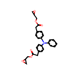 O=C(Cc1ccc(N(c2ccccc2)c2ccc(CC(=O)OCC3CO3)cc2)cc1)OCC1CO1